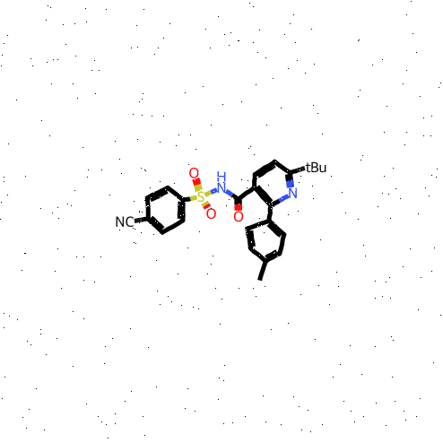 Cc1ccc(-c2nc(C(C)(C)C)ccc2C(=O)NS(=O)(=O)c2ccc(C#N)cc2)cc1